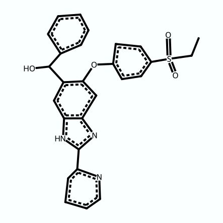 CCS(=O)(=O)c1ccc(Oc2cc3nc(-c4ccccn4)[nH]c3cc2C(O)c2ccccc2)cc1